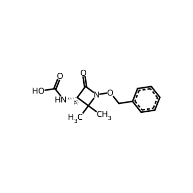 CC1(C)[C@H](NC(=O)O)C(=O)N1OCc1ccccc1